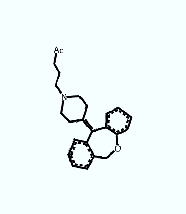 CC(=O)CCCN1CCC(=C2c3ccccc3COc3ccccc32)CC1